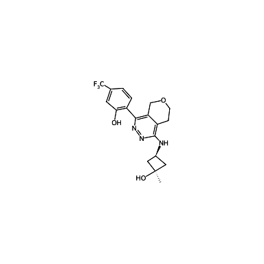 C[C@]1(O)C[C@@H](Nc2nnc(-c3ccc(C(F)(F)F)cc3O)c3c2CCOC3)C1